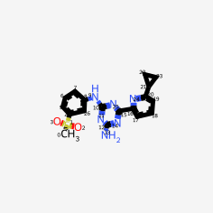 CS(=O)(=O)c1cccc(Nc2nc(N)nc(-c3cccc(C4CC4)n3)n2)c1